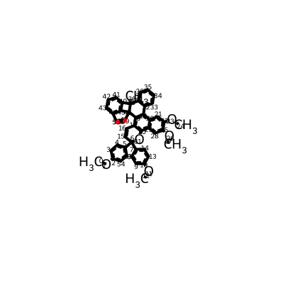 COc1ccc(C2(c3ccc(OC)cc3)C=Cc3c4c(c5cc(OC)c(OC)cc5c3O2)-c2ccccc2C2(C)c3cccc5c3C42c2ccccc2-5)cc1